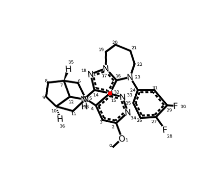 COc1cc(N2C[C@H]3CC[C@H](C2)C3Nc2nc3n(n2)CCCCN3c2ccc(F)c(F)c2)cnn1